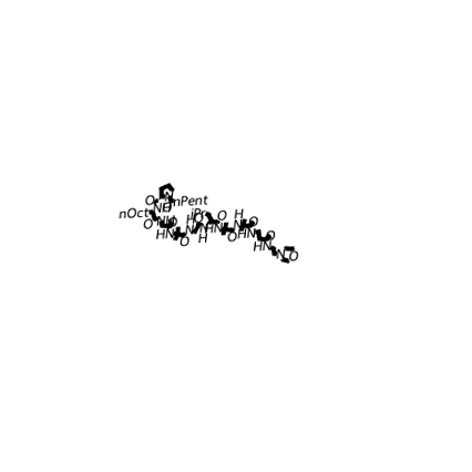 CCCCCCCCC(NC(=O)[C@@H]1CCCN1C(=O)CCCCC)C(=O)NCC(=O)NC(C)(C)C(=O)NCC(=O)NC(CC(C)C)C(=O)NC(C)(C)C(=O)NC(C)(C)C(=O)NCCC(=O)NCCN1CCOCC1